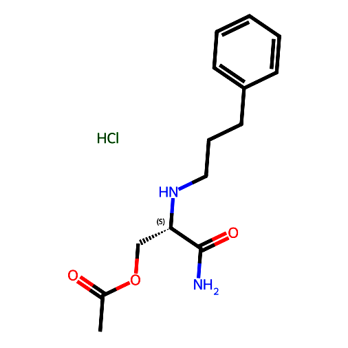 CC(=O)OC[C@H](NCCCc1ccccc1)C(N)=O.Cl